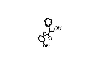 CCCC1CCCC(OC(=O)C(CO)c2ccccc2)C1